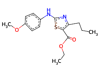 CCCc1nc(Nc2ccc(OC)cc2)sc1C(=O)OCC